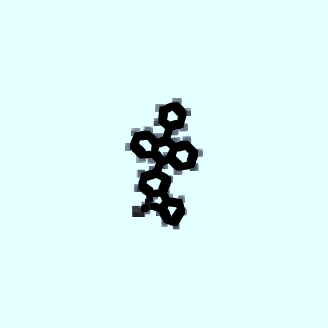 CCn1c2ccccc2c2cc(-c3c4ccccc4c(-c4ccccc4)c4ccccc34)ccc21